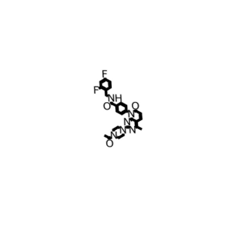 CC(=O)N1CCN(c2nc(C)c3ccc(=O)n(-c4ccc(C(=O)NCc5ccc(F)cc5F)cc4)c3n2)CC1